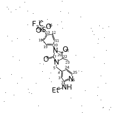 CCNc1cc(CN2C(=O)N(c3ccc(S(=O)(=O)C(F)(F)F)cc3)C(=O)C2C)ccn1